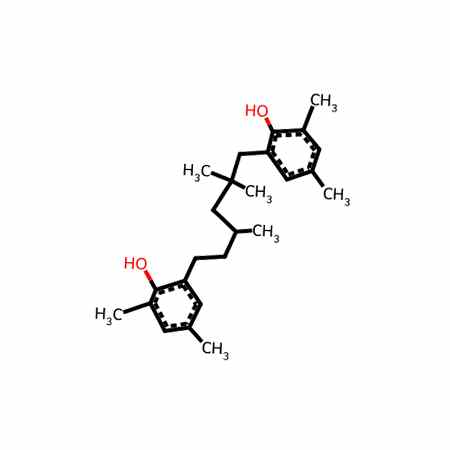 Cc1cc(C)c(O)c(CCC(C)CC(C)(C)Cc2cc(C)cc(C)c2O)c1